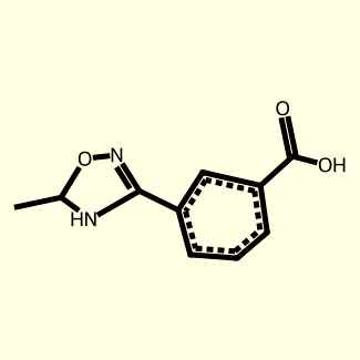 CC1NC(c2cccc(C(=O)O)c2)=NO1